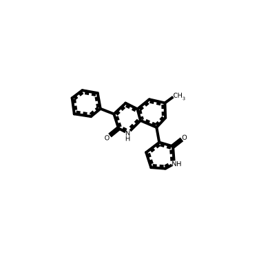 Cc1cc(-c2ccc[nH]c2=O)c2[nH]c(=O)c(-c3ccccc3)cc2c1